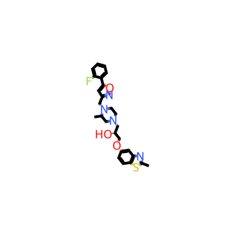 Cc1nc2cc(OC[C@H](O)CN3CCN(Cc4cc(-c5ccccc5F)on4)C(C)C3)ccc2s1